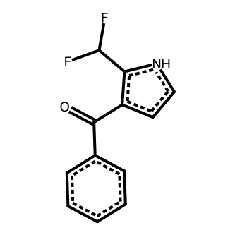 O=C(c1ccccc1)c1cc[nH]c1C(F)F